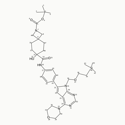 CC(C)(C)OC(=O)N1CC2(CCC(O)(C(=O)Nc3ccc(-c4cc5c(N6CCOCC6)ncnc5n4COCC[Si](C)(C)C)cc3)CC2)C1